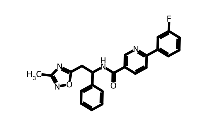 Cc1noc(CC(NC(=O)c2ccc(-c3cccc(F)c3)nc2)c2ccccc2)n1